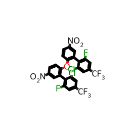 O=[N+]([O-])c1ccc(Oc2ccc([N+](=O)[O-])cc2-c2c(F)cc(C(F)(F)F)cc2Cl)c(-c2c(F)cc(C(F)(F)F)cc2Cl)c1